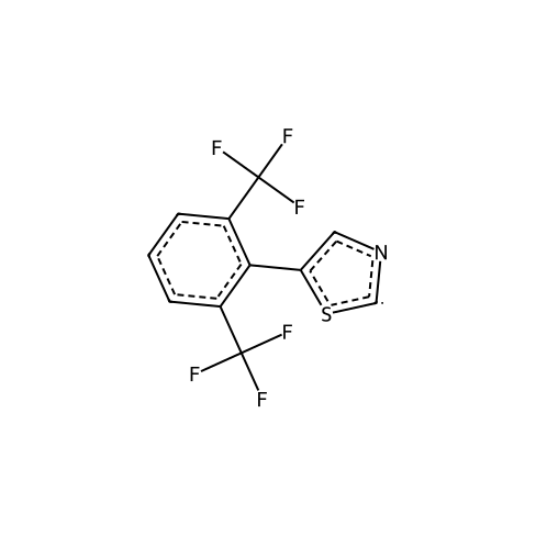 FC(F)(F)c1cccc(C(F)(F)F)c1-c1cn[c]s1